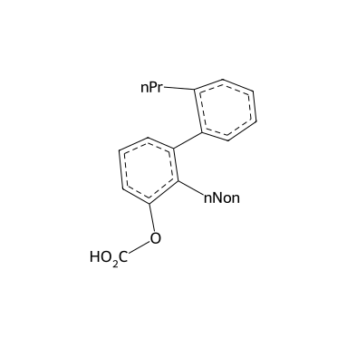 CCCCCCCCCc1c(OC(=O)O)cccc1-c1ccccc1CCC